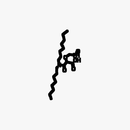 CCCCCCCCN(CCCCCCCC)C(=O)C(C=O)OC[PH](=O)O